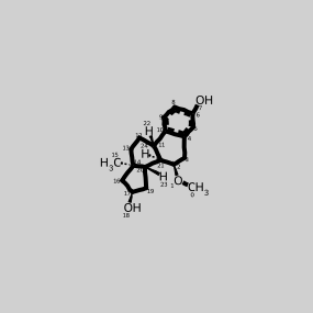 CO[C@@H]1Cc2cc(O)ccc2[C@H]2CC[C@]3(C)C[C@H](O)C[C@H]3[C@@H]21